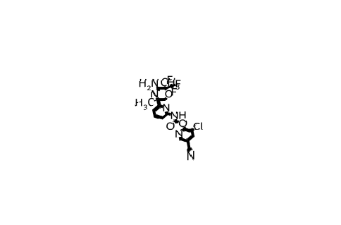 C[C@@]1(c2cccc(NC(=O)Oc3ncc(C#N)cc3Cl)n2)CO[C@@](C)(C(F)(F)F)C(N)=N1